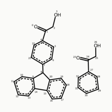 O=C(CO)c1ccc(C2c3ccccc3-c3ccccc32)cc1.O=C(CO)c1ccccc1